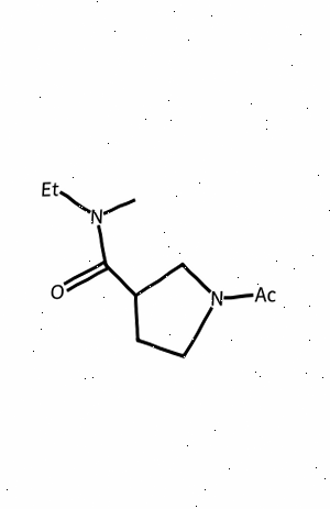 [CH2]CN(C)C(=O)C1CCN(C(C)=O)C1